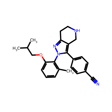 Cc1cccc(OCC(C)C)c1-n1nc2c(c1-c1ccc(C#N)cc1)CNCC2